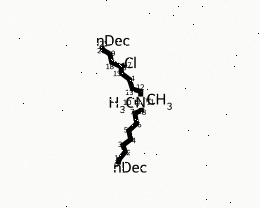 CCCCCCCCCCCCCCCCCC[N+](C)(C)CCCCC(Cl)CCCCCCCCCCCCC